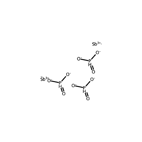 O=[PH]([O-])[O-].O=[PH]([O-])[O-].O=[PH]([O-])[O-].[Sb+3].[Sb+3]